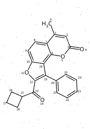 Cc1cc(=O)oc2c1ccc1oc(C(=O)C3CCC3)c(-c3ccccc3)c12